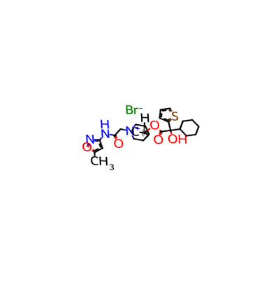 Cc1cc(NC(=O)C[N+]23CCC(CC2)[C@@H](OC(=O)C(O)(c2cccs2)C2CCCCC2)C3)no1.[Br-]